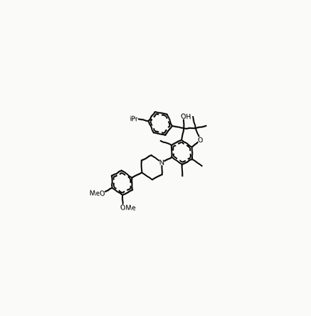 COc1ccc(C2CCN(c3c(C)c(C)c4c(c3C)C(O)(c3ccc(C(C)C)cc3)C(C)(C)O4)CC2)cc1OC